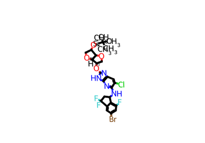 CC(C)(C)[Si](C)(C)OC1CO[C@H]2C1OC[C@H]2Oc1nc2cc(Cl)c(NC3CC(F)(F)c4cc(Br)cc(F)c43)nc2[nH]1